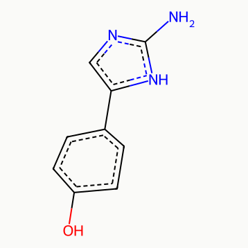 Nc1ncc(-c2ccc(O)cc2)[nH]1